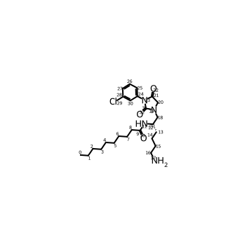 CCCCCCCCCC(=O)N[C@@H](CCCCN)CN1CC(=O)N(c2cccc(Cl)c2)C1=O